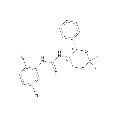 CC1(C)OC[C@H](NC(=O)Nc2cc(Cl)ccc2Cl)[C@H](c2ccccc2)O1